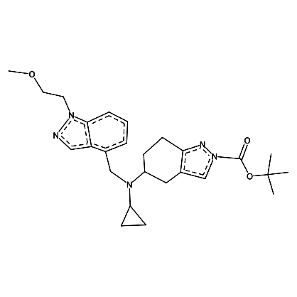 COCCn1ncc2c(CN(C3CC3)C3CCc4nn(C(=O)OC(C)(C)C)cc4C3)cccc21